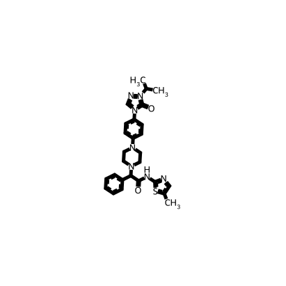 Cc1cnc(NC(=O)C(c2ccccc2)N2CCN(c3ccc(-n4cnn(C(C)C)c4=O)cc3)CC2)s1